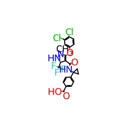 CN1NC(C(F)(F)F)C(C(=O)NC2(c3ccc(C(=O)O)cc3)CC2)=C1Oc1ccc(Cl)c(Cl)c1